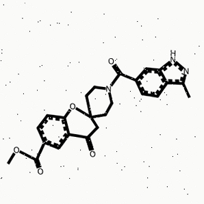 COC(=O)c1ccc2c(c1)C(=O)CC1(CCN(C(=O)c3ccc4c(C)n[nH]c4c3)CC1)O2